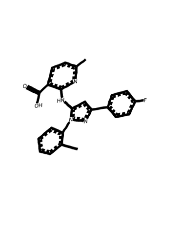 Cc1ccc(C(=O)O)c(Nc2cc(-c3ccc(F)cc3)nn2-c2ccccc2C)n1